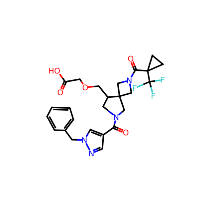 O=C(O)COCC1CN(C(=O)c2cnn(Cc3ccccc3)c2)CC12CN(C(=O)C1(C(F)(F)F)CC1)C2